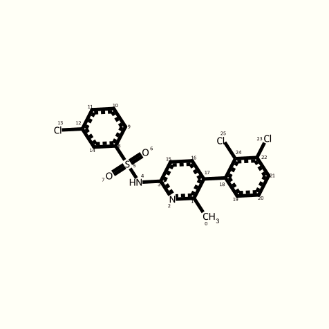 Cc1nc(NS(=O)(=O)c2cccc(Cl)c2)ccc1-c1cccc(Cl)c1Cl